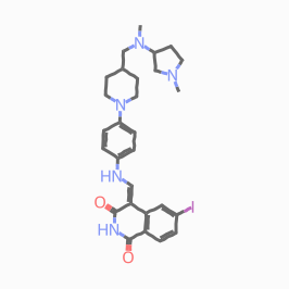 CN1CCC(N(C)CC2CCN(c3ccc(NC=C4C(=O)NC(=O)c5ccc(I)cc54)cc3)CC2)C1